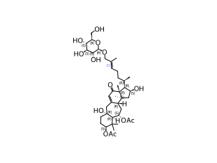 CC(=O)O[C@H]1C[C@@H]2C(=CC(=O)[C@]3(C)[C@@H]([C@H](C)CC/C=C(\C)CO[C@@H]4O[C@H](CO)[C@@H](O)[C@H](O)[C@H]4O)[C@@H](O)C[C@@]23C)C[C@]2(O)CC[C@H](OC(C)=O)C(C)(C)[C@H]12